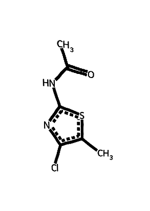 CC(=O)Nc1nc(Cl)c(C)s1